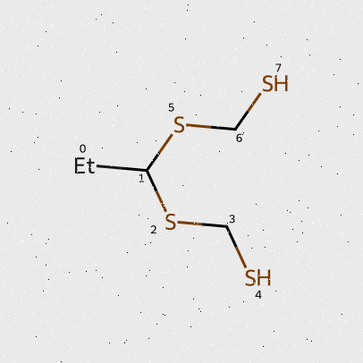 CCC(SCS)SCS